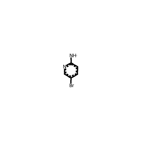 [NH]c1ccc(Br)cn1